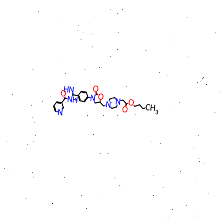 CCCCOC(=O)CN1CCN(CC2CN(c3ccc(C(=N)NC(=O)c4cccnc4)cc3)C(=O)O2)CC1